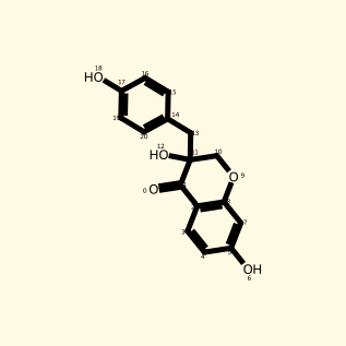 O=C1c2ccc(O)cc2OCC1(O)Cc1ccc(O)cc1